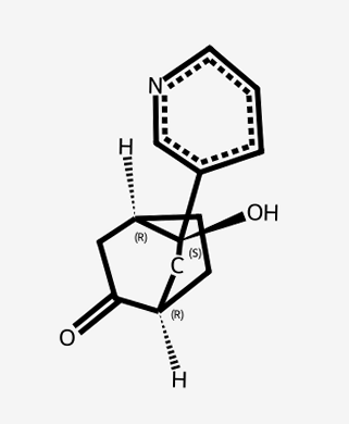 O=C1C[C@H]2CC[C@@H]1C[C@@]2(O)c1cccnc1